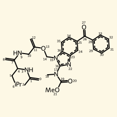 C=C(C)NC(CC(C)C)C(=C)NCC(=C)OCn1c(N(C)C(=O)OC)nc2cc(C(=O)c3ccccc3)ccc21